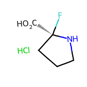 Cl.O=C(O)[C@@]1(F)CCCN1